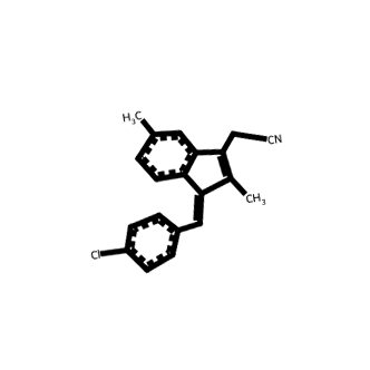 CC1=C(CC#N)c2cc(C)ccc2C1=Cc1ccc(Cl)cc1